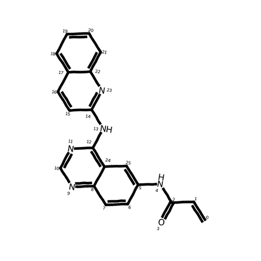 C=CC(=O)Nc1ccc2ncnc(Nc3ccc4ccccc4n3)c2c1